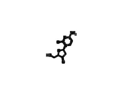 Nc1ccn([C@H]2CC(=O)C(CO)O2)c(=O)n1